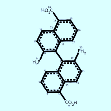 O=C(O)c1cccc2c(-c3c(P)ccc4c(C(=O)O)cccc34)c(P)ccc12